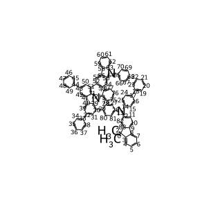 CC1(C)c2ccccc2-c2ccc(N(c3ccc(-c4ccccc4)cc3)c3ccc(-c4cc(-c5ccccc5)cc5c6cc(-c7ccccc7)cc(-c7ccc8c(c7)c7ccccc7n8-c7ccccc7)c6n(-c6ccccc6)c45)cc3)cc21